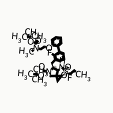 CCC(F)S(=O)(=O)NC1[C@H](Cc2cccc(-c3ccccc3OCCN(C)C(=O)OC(C)(C)C)c2F)N(C(=O)OC(C)(C)C)CC12CC2